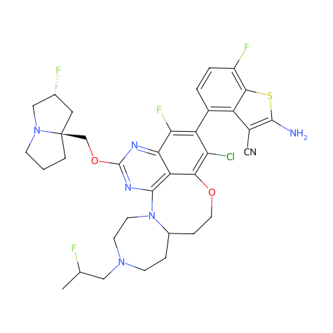 CC(F)CN1CCC2CCOc3c(Cl)c(-c4ccc(F)c5sc(N)c(C#N)c45)c(F)c4nc(OC[C@@]56CCCN5C[C@H](F)C6)nc(c34)N2CC1